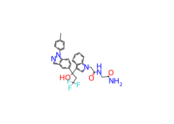 Cc1ccc(-n2ncc3cc(C(O)(CC(F)(F)F)c4cn(CC(=O)NCC(N)=O)c5ccccc45)ccc32)cc1